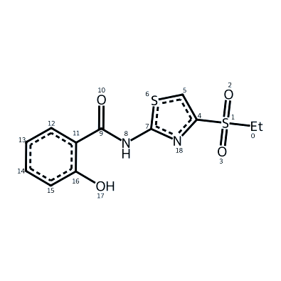 CCS(=O)(=O)c1csc(NC(=O)c2ccccc2O)n1